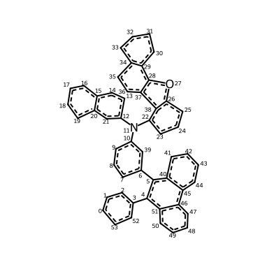 c1ccc(-c2c(-c3cccc(N(c4ccc5ccccc5c4)c4cccc5oc6c7ccccc7ccc6c45)c3)c3ccccc3c3ccccc23)cc1